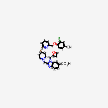 N#Cc1ccc(OCc2cccc(SC3CCN(Cc4nc5ccc(C(=O)O)cc5n4C[C@@H]4CCO4)CC3)n2)c(F)c1